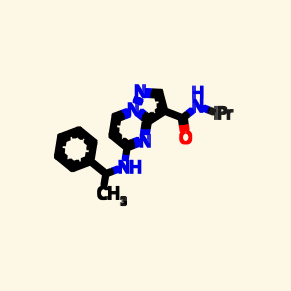 CC(C)NC(=O)c1cnn2ccc(NC(C)c3ccccc3)nc12